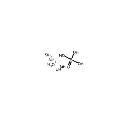 O.O=P(O)(O)O.[AlH3].[LiH].[LiH].[SiH4]